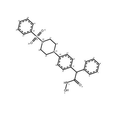 O=C(NO)C(c1ccccc1)c1ccc(N2CCN(S(=O)(=O)c3ccccc3)CC2)cc1